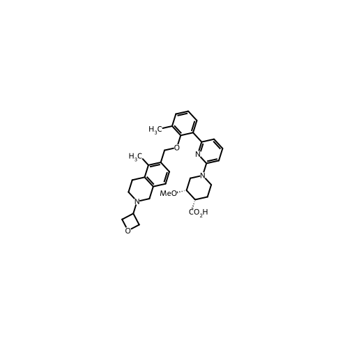 CO[C@@H]1CN(c2cccc(-c3cccc(C)c3OCc3ccc4c(c3C)CCN(C3COC3)C4)n2)CC[C@@H]1C(=O)O